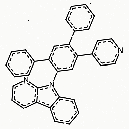 c1ccc(-c2cc(-c3ccccc3)c(-n3c4ccccc4c4cccnc43)cc2-c2ccncc2)cc1